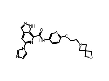 O=C(Nc1ccc(OCCN2CC3(COC3)C2)nc1)c1nc(-n2ccnc2)cc2cn[nH]c12